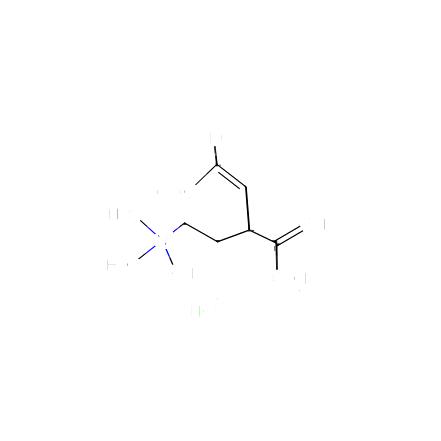 C=C(C(=O)O)C(C=C(CC)C(=O)[O-])CC[N+](C)(C)C.Cl